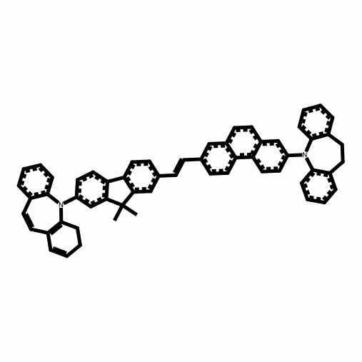 CC1(C)c2cc(/C=C/c3ccc4c(ccc5cc(N6c7ccccc7CCc7ccccc76)ccc54)c3)ccc2-c2ccc(N3C4=C(C=CCC4)C=Cc4ccccc43)cc21